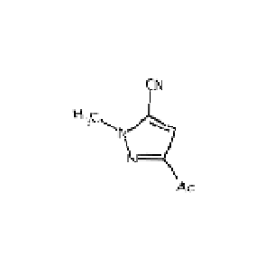 CC(=O)c1cc(C#N)n(C)n1